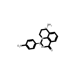 N[C@H]1CCN2c3c(cccc31)C(=O)N[C@H]2c1ccc([N+](=O)[O-])cc1